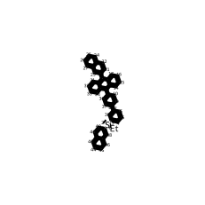 CC[Si](C)(c1cccc(-c2ccc(-c3c4ccccc4c(-c4ccc5ccccc5c4)c4ccccc34)cc2)c1)c1ccc2ccccc2c1